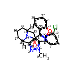 Cn1nc2c(c1-c1cccc(Cl)c1)C[C@H]1CCC[C@@H]2N1C(=O)c1noc2ccccc12